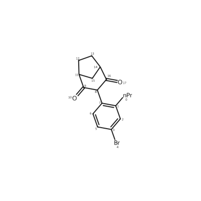 CCCc1cc(Br)ccc1C1C(=O)C2CCC(C2)C1=O